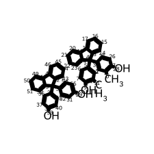 Cc1cc(C2(c3ccc(O)c(C)c3)c3ccccc3-c3ccccc32)ccc1O.Oc1ccc(C2(c3ccc(O)cc3)c3ccccc3-c3ccccc32)cc1